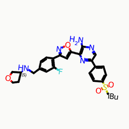 CCC(C)S(=O)(=O)c1ccc(-c2cnc(N)c(-c3cc(-c4ccc(CN[C@H]5CCOC5)cc4F)no3)n2)cc1